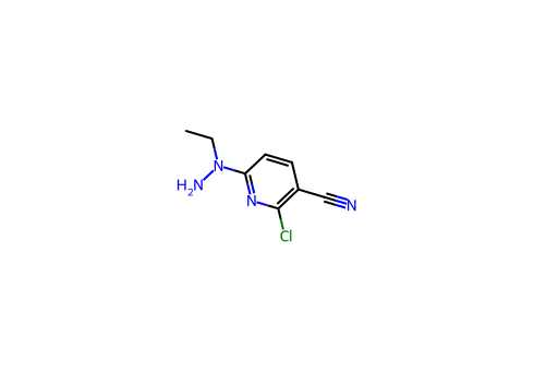 CCN(N)c1ccc(C#N)c(Cl)n1